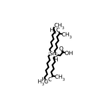 CC(C)CCCCC[SH](CCCCCC(C)C)CC(=O)O.CCCCCCC[CH2][Sn][CH2]CCCCCCC